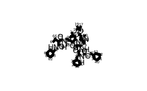 CC(C)CC(NC(=O)[C@H](Cc1cn(C(=O)OC(C)(C)C)cn1)NC(=O)[C@H](Cc1ccccc1)NC(=O)OCc1ccccc1)C(=O)C(F)(F)CNC(=O)C(C(=O)NCc1ccccc1)C(C)C